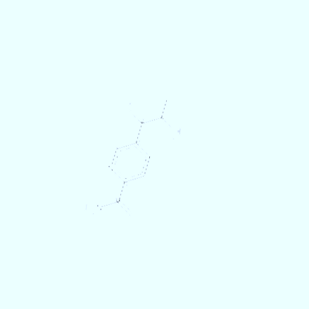 CC(O)C(O)c1ccc(C(N)=O)nc1